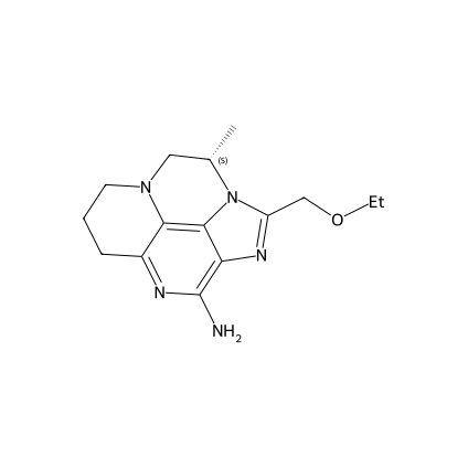 CCOCc1nc2c(N)nc3c4c2n1[C@@H](C)CN4CCC3